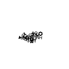 CCC[C@H](NC(=O)[C@@H]1[C@@H]2[C@H](CN1C(=O)[C@@H](NC(=O)[C@@H](NCl)C1CCCCC1)C(C)(C)C)C2(C)C)C(=O)C(=O)NC1CC1